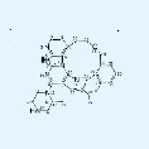 CC(C)c1nccc2c1-n1c(=O)nc(N3CCNC[C@@H]3C)c3cc(F)c(nc31)-c1c(F)cccc1COCC2